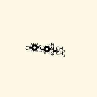 CC(C)C(=O)Nc1ccc(CSc2ccc(Cl)cc2)cc1